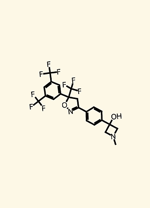 CN1CC(O)(c2ccc(C3=NOC(c4cc(C(F)(F)F)cc(C(F)(F)F)c4)(C(F)(F)F)C3)cc2)C1